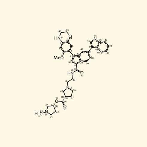 COc1cc2c(cc1-n1nc(C(=O)NCCN3CC[C@H](C(=O)O[C@@H]4CCN(C)C4)C3)c3cnc(-c4cnn5cccnc45)cc31)OCCN2